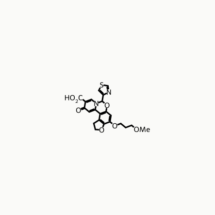 COCCCOc1cc2c(c3c1OCC3)-c1cc(=O)c(C(=O)O)cn1C(c1cscn1)O2